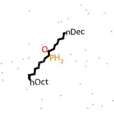 CCCCCCCC/C=C\CCCCCCC(P)C(=O)CCCCCCCCCCCCCCCC